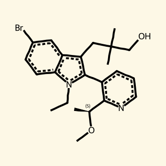 CCn1c(-c2cccnc2[C@H](C)OC)c(CC(C)(C)CO)c2cc(Br)ccc21